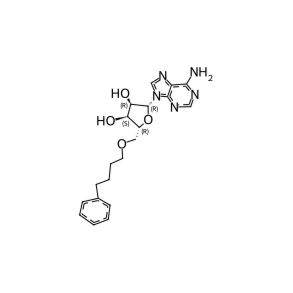 Nc1ncnc2c1ncn2[C@@H]1O[C@H](COCCCCc2ccccc2)[C@@H](O)[C@H]1O